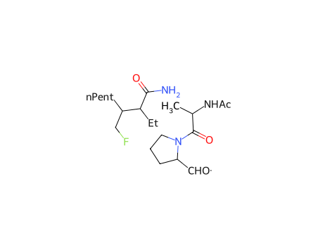 CC(=O)NC(C)C(=O)N1CCCC1[C]=O.CCCCCC(CF)C(CC)C(N)=O